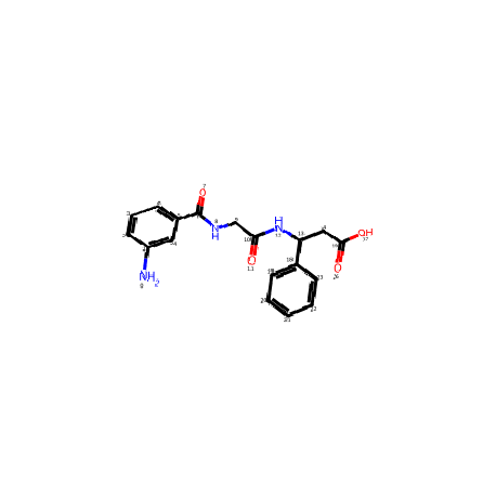 Nc1cccc(C(=O)NCC(=O)NC(CC(=O)O)c2ccccc2)c1